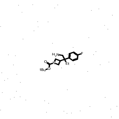 CCC(CN)(c1ccc(F)cc1)C1CN(C(=O)OC(C)(C)C)C1